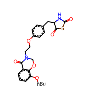 CCCCOc1cccc2c1OCN(CCOc1ccc(CC3NC(=O)SC3=O)cc1)C2=O